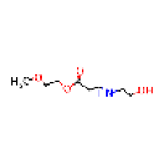 COCCOC(=O)CCNCCO